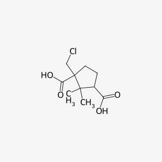 CC1(C)C(C(=O)O)CCC1(CCl)C(=O)O